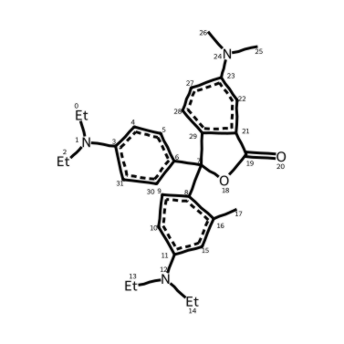 CCN(CC)c1ccc(C2(c3ccc(N(CC)CC)cc3C)OC(=O)c3cc(N(C)C)ccc32)cc1